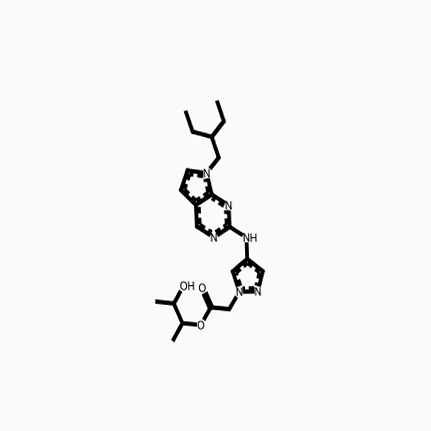 CCC(CC)Cn1ccc2cnc(Nc3cnn(CC(=O)OC(C)C(C)O)c3)nc21